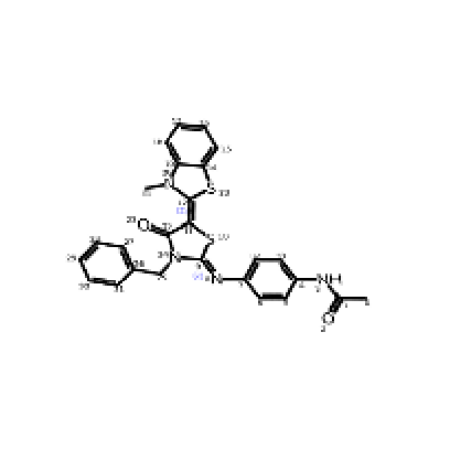 CC(=O)Nc1ccc(/N=C2\S/C(=C3\Sc4ccccc4N3C)C(=O)N2Cc2ccccc2)cc1